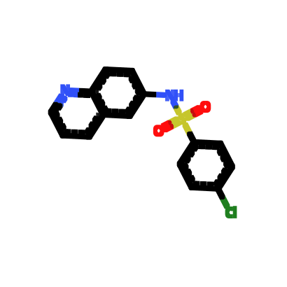 O=S(=O)(Nc1ccc2ncccc2c1)c1ccc(Cl)cc1